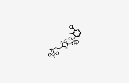 Cc1c(Cl)cccc1S(=O)(=O)Nc1nc(CCN(C)S(C)(=O)=O)ns1